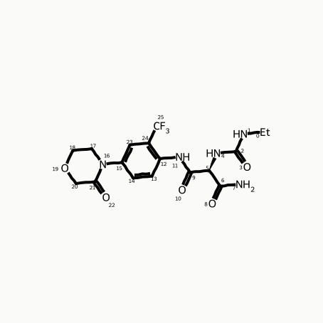 CCNC(=O)N[C@@H](C(N)=O)C(=O)Nc1ccc(N2CCOCC2=O)cc1C(F)(F)F